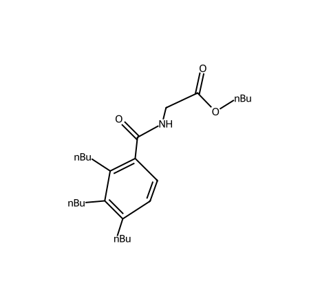 CCCCOC(=O)CNC(=O)c1ccc(CCCC)c(CCCC)c1CCCC